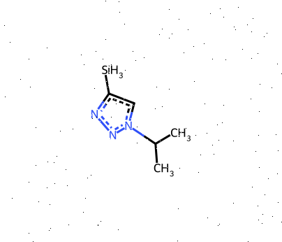 CC(C)n1cc([SiH3])nn1